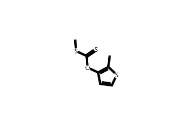 CSC(=S)Oc1ccsc1C